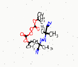 CC(C)(C#N)N=NC(C)(C)C#N.CC(C)OC(=O)OOC(=O)OC(C)C